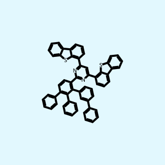 c1ccc(-c2cccc(-c3c(-c4nc(-c5cccc6c5sc5ccccc56)cc(-c5cccc6c5sc5ccccc56)n4)ccc(-c4ccccc4)c3-c3ccccc3)c2)cc1